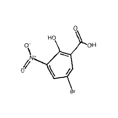 O=C(O)c1cc(Br)cc([N+](=O)[O-])c1O